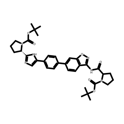 CC(C)(C)OC(=O)N1CCCC1C(=O)Nc1noc2cc(-c3ccc(-c4cnc([C@@H]5CCCN5C(=O)OC(C)(C)C)[nH]4)cc3)ccc12